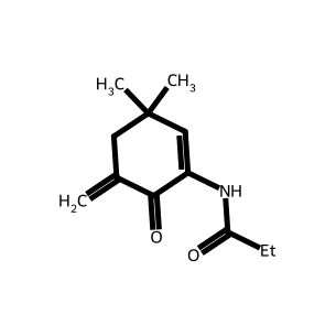 C=C1CC(C)(C)C=C(NC(=O)CC)C1=O